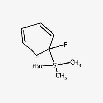 CC(C)(C)[Si](C)(C)C1(F)[CH]C=CC=C1